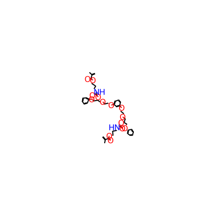 C=C(C)C(=O)OCCCNC(=O)OC(COCCOc1cccc(OCCOCC(COc2ccccc2)OC(=O)NCCCOC(=O)C(=C)C)c1)COc1ccccc1